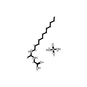 CCCCCCCCCCCCNC(C)NCC(=O)O.O=S(=O)(O)O